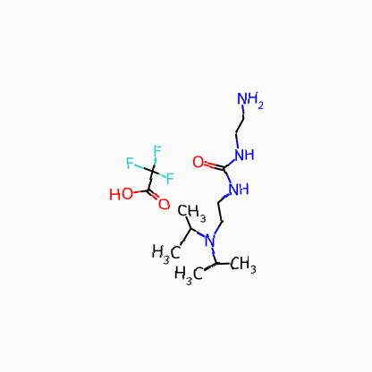 CC(C)N(CCNC(=O)NCCN)C(C)C.O=C(O)C(F)(F)F